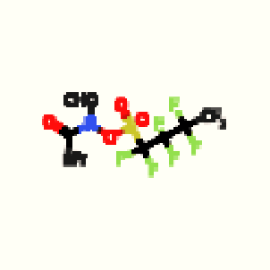 CCCC(=O)N(C=O)OS(=O)(=O)C(F)(F)C(F)(F)C(F)(F)C(F)(F)F